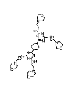 C(CN1CCOCC1)Nc1nc(NCCN2CCOCC2)nc(C2CCC(c3nc(NCCN4CCOCC4)nc(NCCN4CCOCC4)n3)CC2)n1